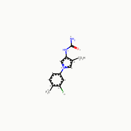 NC(=O)Nc1cn(-c2ccc(C(F)(F)F)c(F)c2)cc1C(=O)O